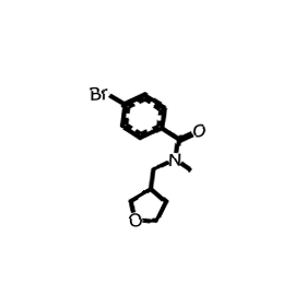 CN(CC1CCOC1)C(=O)c1ccc(Br)cc1